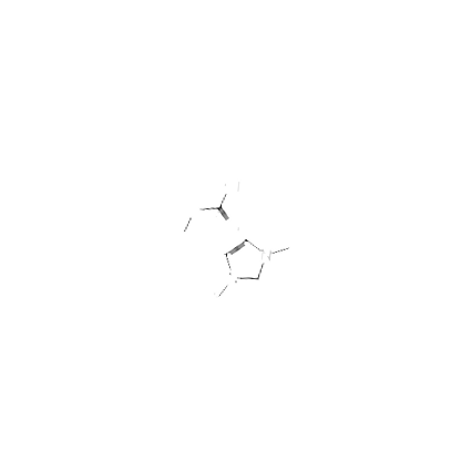 CN1C=CN(C)C1.COC(=O)O